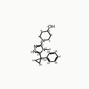 Cn1c(N2CCC(O)CC2)nnc1C1(c2ccccc2)CC1